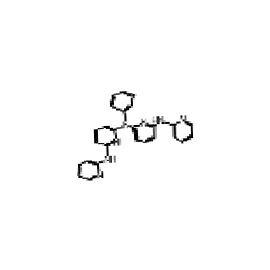 c1ccc(N(c2cccc(Nc3ccccn3)n2)c2cccc(Nc3ccccn3)n2)cc1